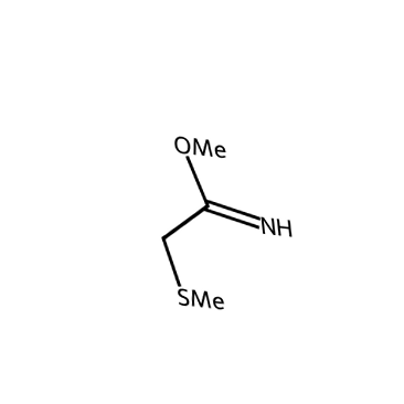 COC(=N)CSC